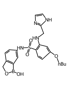 CCCCOc1ccc(S(=O)(=O)Nc2ccc3c(c2)B(O)OC3)c(NCc2ncc[nH]2)c1